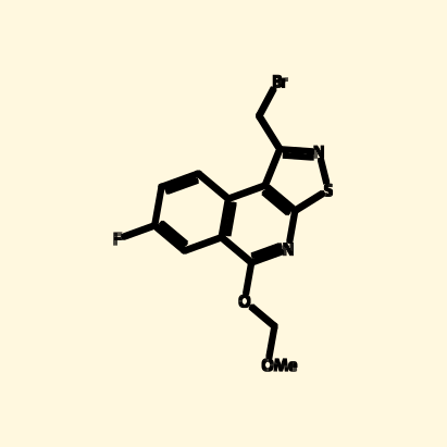 COCOc1nc2snc(CBr)c2c2ccc(F)cc12